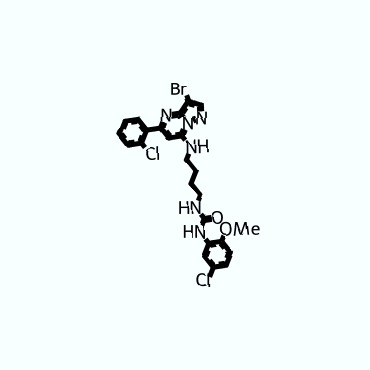 COc1ccc(Cl)cc1NC(=O)NCCCCNc1cc(-c2ccccc2Cl)nc2c(Br)cnn12